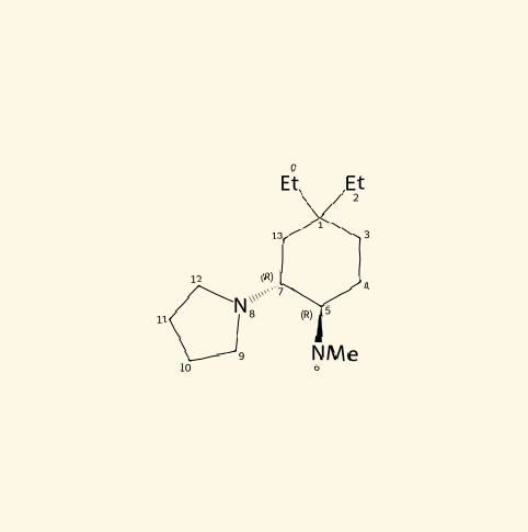 CCC1(CC)CC[C@@H](NC)[C@H](N2CCCC2)C1